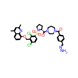 Cc1cc(C)c2cccc(OCc3c(Cl)ccc(S(=O)(=O)N4CCC[C@H]4C(=O)N4CCCN(C(=O)c5ccc(C=NN)cc5)CC4)c3Cl)c2n1